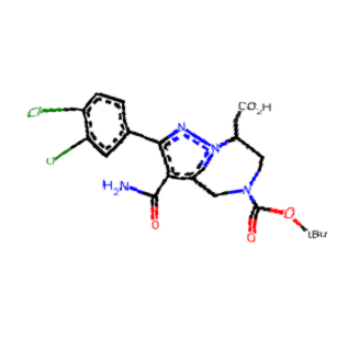 CC(C)(C)OC(=O)N1Cc2c(C(N)=O)c(-c3ccc(Cl)c(Cl)c3)nn2C(C(=O)O)C1